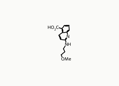 COCCCNc1ccc2c(C(=O)O)cccc2n1